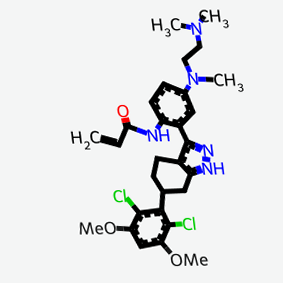 C=CC(=O)Nc1ccc(N(C)CCN(C)C)cc1-c1n[nH]c2c1CCC(c1c(Cl)c(OC)cc(OC)c1Cl)C2